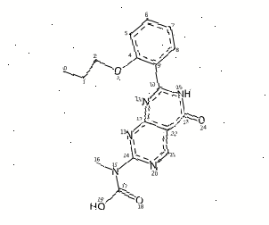 CCCOc1ccccc1-c1nc2nc(N(C)C(=O)O)ncc2c(=O)[nH]1